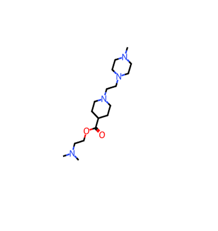 CN(C)CCOC(=O)C1CCN(CCN2CCN(C)CC2)CC1